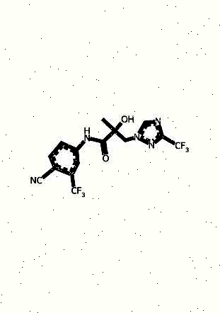 CC(O)(Cn1cnc(C(F)(F)F)n1)C(=O)Nc1ccc(C#N)c(C(F)(F)F)c1